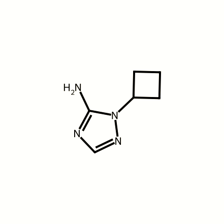 Nc1ncnn1C1CCC1